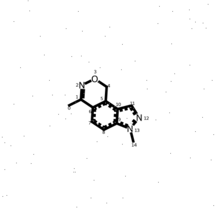 CC1=NOCc2c1ccc1c2cnn1C